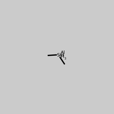 C[SiH]C.[AlH3]